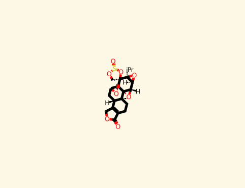 CC(C)[C@]12O[C@H]1[C@@H]1O[C@]13[C@]1(O[C@H]1C[C@H]1C4=C(CC[C@@]13C)C(=O)OC4)[C@]21COS(=O)O1